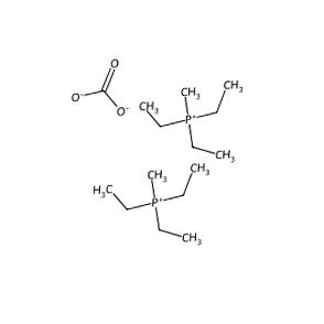 CC[P+](C)(CC)CC.CC[P+](C)(CC)CC.O=C([O-])[O-]